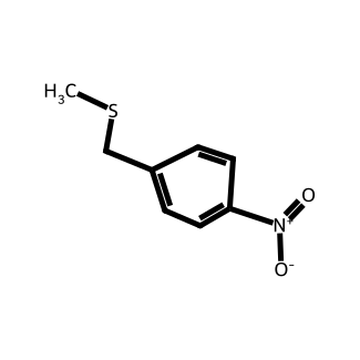 CSCc1ccc([N+](=O)[O-])cc1